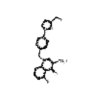 O=C(O)c1cn(Cc2ccc(-n3ccc(CF)n3)cc2)c2cccc(F)c2c1=O